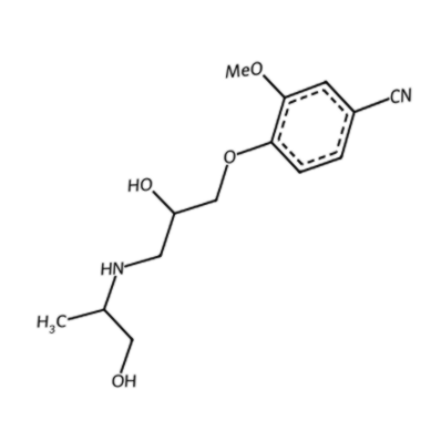 COc1cc(C#N)ccc1OCC(O)CNC(C)CO